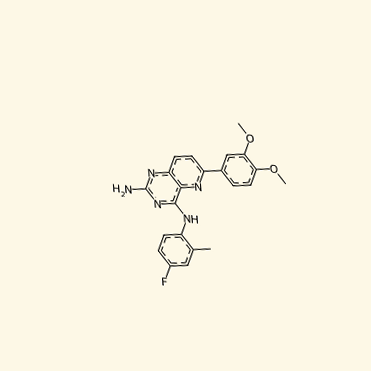 COc1ccc(-c2ccc3nc(N)nc(Nc4ccc(F)cc4C)c3n2)cc1OC